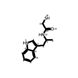 CC(Cc1c[nH]c2ccccc12)NC(=O)CS